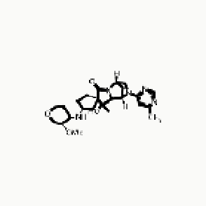 CO[C@@H]1COCC[C@@H]1N[C@@H]1CC[C@@]2(C1)C(=O)N1C([C@@H]3C[C@H]1CN3c1cc(C(F)(F)F)ncn1)C2(C)O